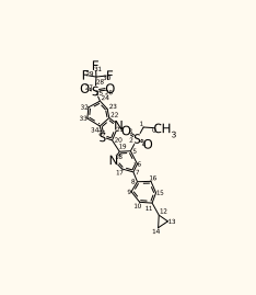 CCS(=O)(=O)c1cc(-c2ccc(C3CC3)cc2)cnc1-c1nc2cc(S(=O)(=O)C(F)(F)F)ccc2s1